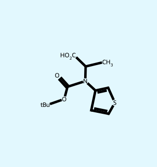 CC(C(=O)O)N(C(=O)OC(C)(C)C)c1ccsc1